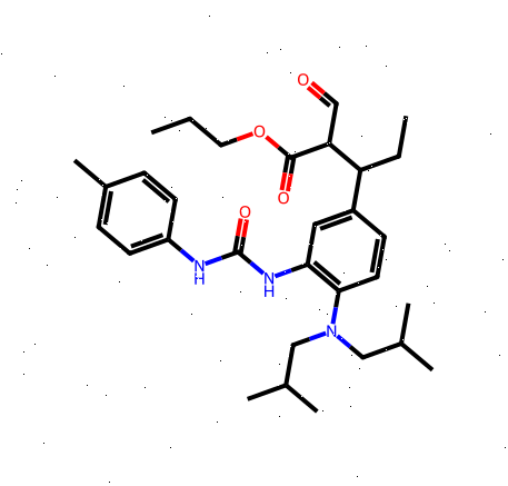 CCCOC(=O)C(C=O)C(CC)c1ccc(N(CC(C)C)CC(C)C)c(NC(=O)Nc2ccc(C)cc2)c1